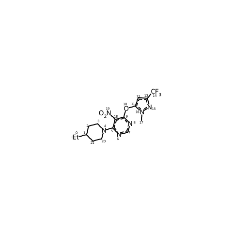 C[CH]C1CCN(c2ncnc(Oc3cc(C(F)(F)F)nn3C)c2[N+](=O)[O-])CC1